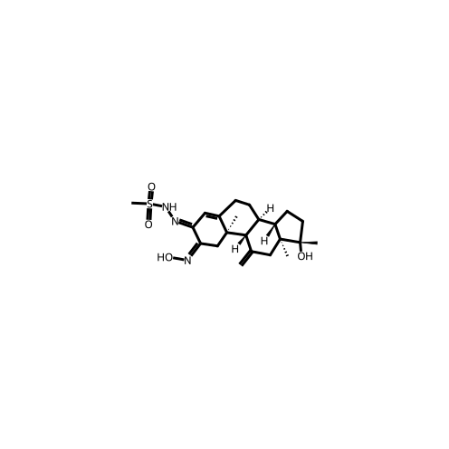 C=C1C[C@@]2(C)[C@@H](CC[C@]2(C)O)[C@@H]2CCC3=CC(=N\NS(C)(=O)=O)/C(=N\O)C[C@]3(C)[C@@H]12